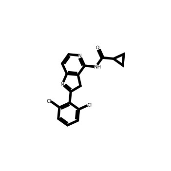 O=C(Nc1nccc2c1CC(c1c(Cl)cccc1Cl)=N2)C1CC1